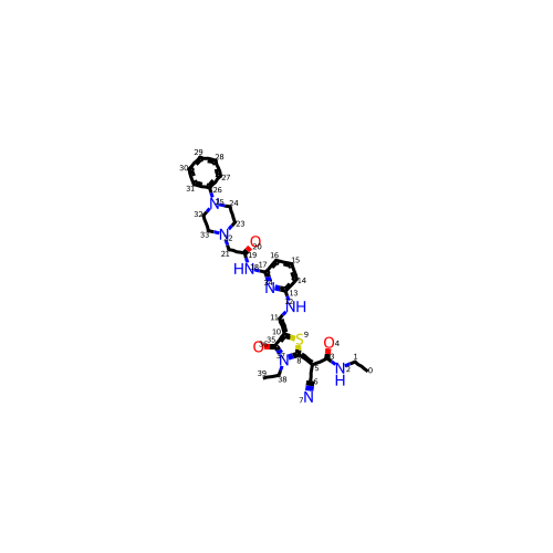 CCNC(=O)C(C#N)=c1sc(=CNc2cccc(NC(=O)CN3CCN(c4ccccc4)CC3)n2)c(=O)n1CC